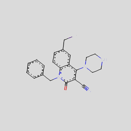 N#Cc1c(N2CCNCC2)c2cc(CI)ccc2n(Cc2ccccc2)c1=O